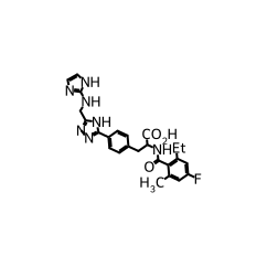 CCc1cc(F)cc(C)c1C(=O)NC(Cc1ccc(-c2nnc(CNc3ncc[nH]3)[nH]2)cc1)C(=O)O